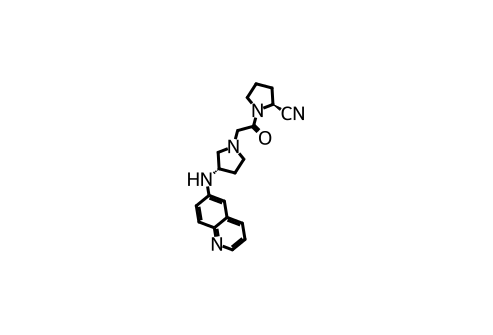 N#C[C@@H]1CCCN1C(=O)CN1CC[C@H](Nc2ccc3ncccc3c2)C1